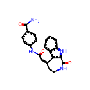 NC(=O)c1ccc(NC(=O)/C=C2/CCNC(=O)c3[nH]c4ccccc4c32)cc1